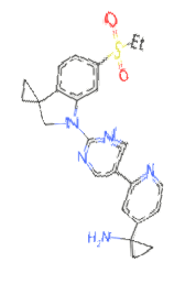 CCS(=O)(=O)c1ccc2c(c1)N(c1ncc(-c3cc(C4(N)CC4)ccn3)cn1)CC21CC1